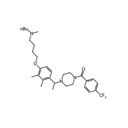 CCCCN(C)CCCCOc1ccc(C(C)N2CCN(C(=O)c3ccc(C(F)(F)F)cc3)CC2)c(C)c1C